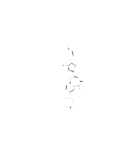 C=C/C(C)=C\Cc1cnc(C2=CC(=O)C(=C)CC(/C=C\C(=C/C)N3CCCC(=C)CC3)=N2)cc1C=C